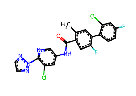 Cc1cc(-c2ccc(F)cc2Cl)c(F)cc1C(=O)Nc1cnc(-n2nccn2)c(Cl)c1